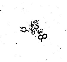 Cc1ccc(C(=O)Nc2ccc(S(C)(=O)=O)nc2C(=O)NCC2CCOCC2)c2ccccc12